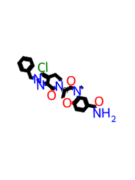 CN1C(=O)[C@@H](N2CCc3c(nn(Cc4ccccc4)c3Cl)C2=O)COc2ccc(C(N)=O)cc21